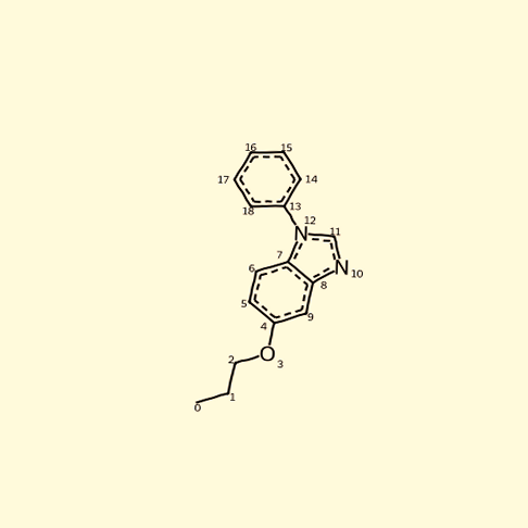 CCCOc1ccc2c(c1)ncn2-c1ccccc1